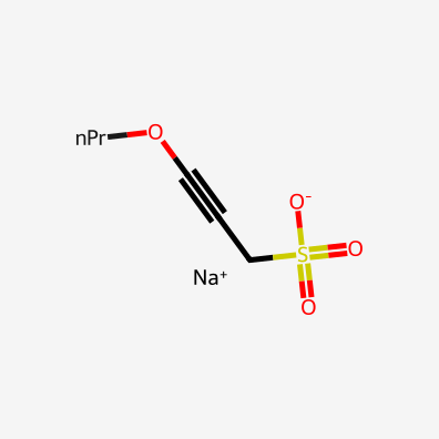 CCCOC#CCS(=O)(=O)[O-].[Na+]